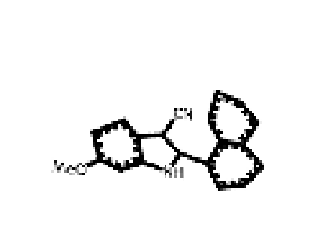 COc1ccc2c(c1)NC(c1cccc3ccccc13)C2C#N